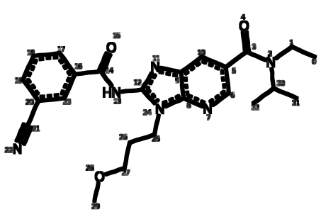 CCN(C(=O)c1cnc2c(c1)nc(NC(=O)c1cccc(C#N)c1)n2CCCOC)C(C)C